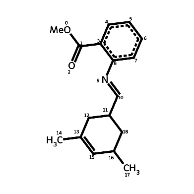 COC(=O)c1ccccc1N=CC1CC(C)=CC(C)C1